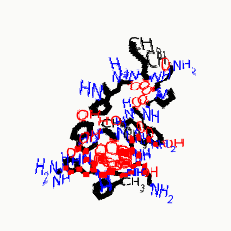 CC[C@H](C)[C@H](NC(=O)[C@@H](N)Cc1c[nH]c2ccccc12)C(=O)N[C@@H](CC(N)=O)C(=O)N1CCC[C@H]1C(=O)N[C@@H](Cc1ccc(O)cc1)C(=O)N[C@H](C(=O)NCC(=O)N[C@@H](CO)C(=O)N[C@@H](C)C(=O)N[C@@H](Cc1ccccc1)C(=O)N[C@@H](Cc1ccc(O)cc1)C(=O)N[C@@H](C)C(=O)N[C@@H](CCC(N)=O)C(=O)N[C@@H](CCCCN)C(=O)N[C@@H](Cc1ccccc1)C(=O)N[C@@H](CCCNC(=N)N)C(=O)NCC(=O)O)[C@@H](C)O